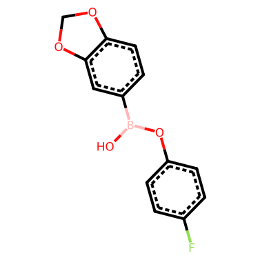 OB(Oc1ccc(F)cc1)c1ccc2c(c1)OCO2